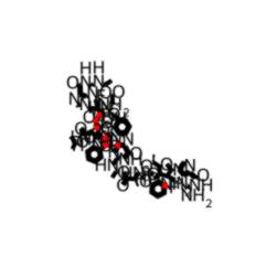 CC(C)OC(=O)[C@H](C)NP(=O)(Oc1ccccc1)O[C@@H](C)[C@H]1O[C@@H](n2cnc3c(=O)[nH]c(NC(C)OC(=O)[C@H](C)N[P@@](=O)(Oc4ccccc4)O[C@@H](C)[C@H]4O[C@@H](n5cnc6c(=O)[nH]c(NC(C)OC(=O)[C@H](C)N[P@](=O)(Oc7ccccc7)O[C@@H](C)[C@H]7O[C@@H](n8cnc9c(=O)[nH]c(N)nc98)[C@@](N)(CF)C7O)nc65)[C@@](N)(CF)C4O)nc32)[C@@](N)(CF)C1O